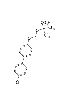 O=C(O)C(OCOc1ccc(-c2ccc(Cl)cc2)cc1)(C(F)(F)F)C(F)(F)F